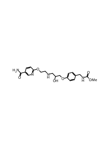 COC(=O)NCc1ccc(OCC(O)CNCCOc2ccc(C(N)=O)cn2)cc1